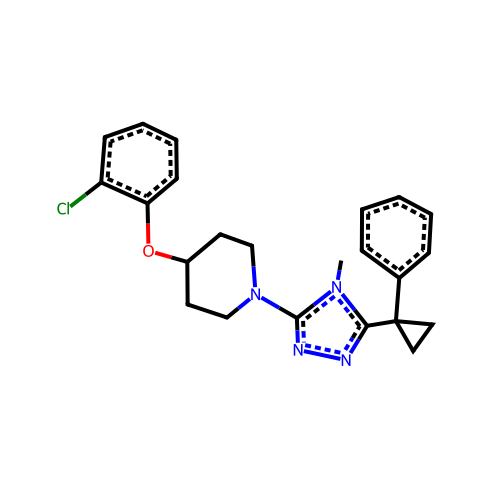 Cn1c(N2CCC(Oc3ccccc3Cl)CC2)nnc1C1(c2ccccc2)CC1